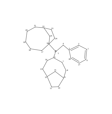 c1ccc(CP(C2CCC3CCC(CC2)C3)C23CCCCCC(CC2)C3)cc1